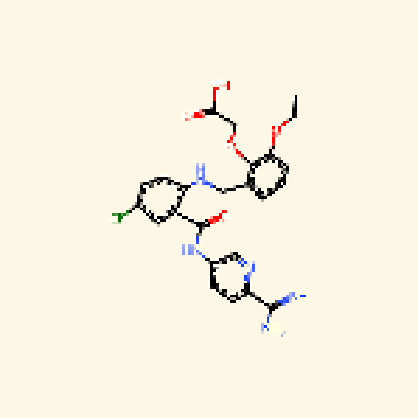 CCOc1cccc(CNc2ccc(Cl)cc2C(=O)Nc2ccc(C(=N)N)nc2)c1OCC(=O)O